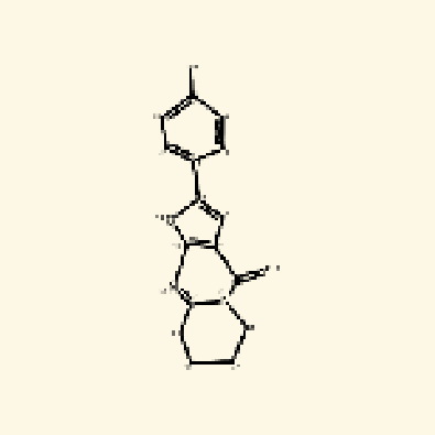 Cc1ccc(-c2cc3c(=S)n4c(nc3o2)CCCC4)cc1